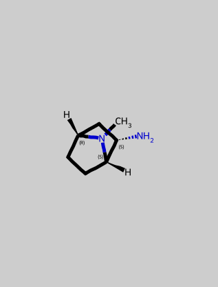 CN1[C@@H]2CC[C@H]1[C@@H](N)C2